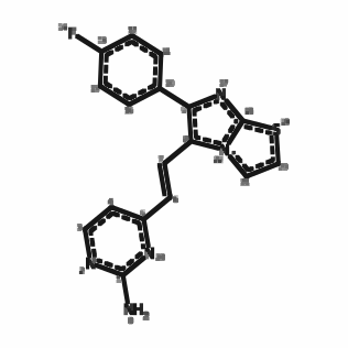 Nc1nccc(/C=C/c2c(-c3ccc(F)cc3)nc3sccn23)n1